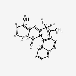 COc1ccc2ccccc2c1-n1c(C(F)(F)F)cc2c(O)ncnc2c1=O